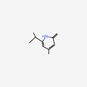 C=C1C=C(C)C=C(C(C)C)N1